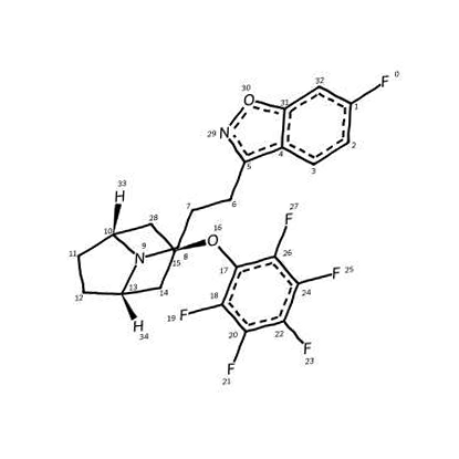 Fc1ccc2c(CCCN3[C@@H]4CC[C@H]3C[C@H](Oc3c(F)c(F)c(F)c(F)c3F)C4)noc2c1